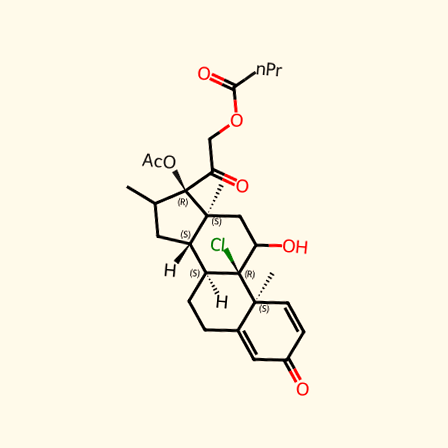 CCCC(=O)OCC(=O)[C@@]1(OC(C)=O)C(C)C[C@H]2[C@@H]3CCC4=CC(=O)C=C[C@]4(C)[C@@]3(Cl)C(O)C[C@@]21C